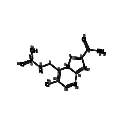 NC(=O)c1cn2c(CN[PH](=O)O)c(Cl)cnc2n1